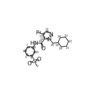 CS(=O)(=O)c1cccc(NC(=O)c2c(F)cnn2CC2CCCCC2)c1